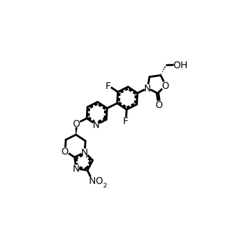 O=C1O[C@@H](CO)CN1c1cc(F)c(-c2ccc(O[C@@H]3COc4nc([N+](=O)[O-])cn4C3)nc2)c(F)c1